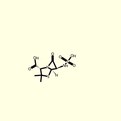 CC1(C)S[C@@H]2[C@H](NS(=O)(=O)O)C(=O)N2[C@H]1C(=O)O